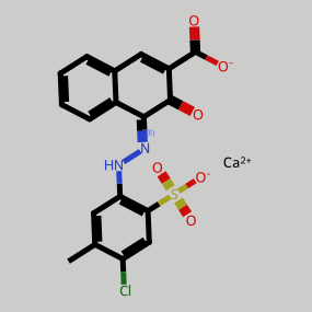 Cc1cc(N/N=C2/C(=O)C(C(=O)[O-])=Cc3ccccc32)c(S(=O)(=O)[O-])cc1Cl.[Ca+2]